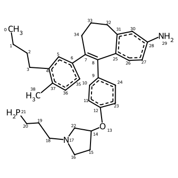 CCCCc1cc(C2=C(c3ccc(OC4CCN(CCCP)C4)cc3)c3ccc(N)cc3CCC2)ccc1C